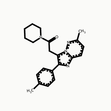 Cc1ccc(-c2nc3ccc(C)nn3c2CC(=O)N2CCCCC2)cc1